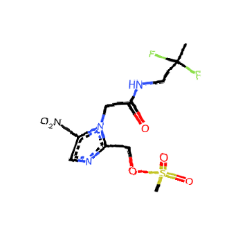 CC(F)(F)CNC(=O)Cn1c([N+](=O)[O-])cnc1COS(C)(=O)=O